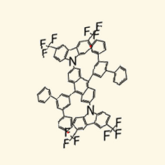 FC(F)(F)c1ccc2c(c1)c1cc(C(F)(F)F)ccc1n2-c1ccc2c(-c3cc(-c4ccccc4)cc(-c4ccccc4)c3)c3cc(-n4c5ccc(C(F)(F)F)cc5c5cc(C(F)(F)F)ccc54)ccc3c(-c3cc(-c4ccccc4)cc(-c4ccccc4)c3)c2c1